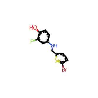 Oc1ccc(NCc2ccc(Br)s2)cc1F